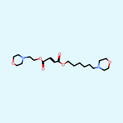 O=C(/C=C/C(=O)OCCN1CCOCC1)OCCCCCCN1CCOCC1